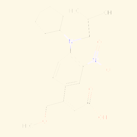 COC/C(=C/C(=O)O)c1ccc(N(CC(C)C)C2CCCCC2)c([N+](=O)[O-])c1